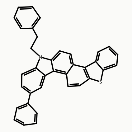 c1ccc(CCn2c3ccc(-c4ccccc4)cc3c3c4ccc5sc6ccccc6c5c4ccc32)cc1